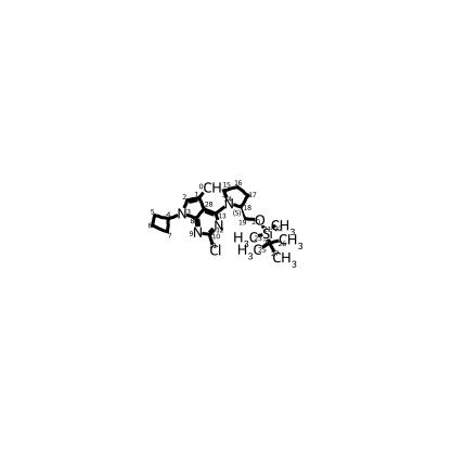 Cc1cn(C2CCC2)c2nc(Cl)nc(N3CCC[C@H]3CO[Si](C)(C)C(C)(C)C)c12